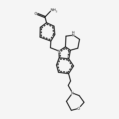 NC(=O)c1ccc(Cn2c3c(c4cc(CCN5CCOCC5)ccc42)CCNC3)cc1